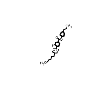 CCCCCCC1COC(c2ccc(C(=O)Oc3ccc(CCC)cc3)cc2F)OC1